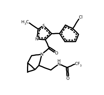 Cc1nc(C(=O)N2CC3CC3C2CNC(=O)C(F)(F)F)c(-c2cccc(Cl)c2)s1